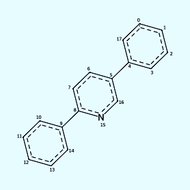 [c]1cccc(-c2ccc(-c3ccccc3)nc2)c1